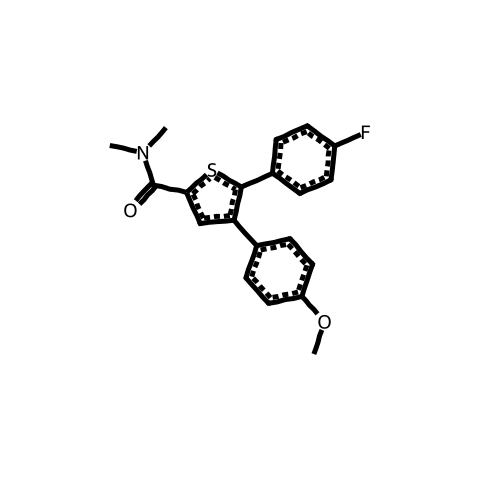 COc1ccc(-c2cc(C(=O)N(C)C)sc2-c2ccc(F)cc2)cc1